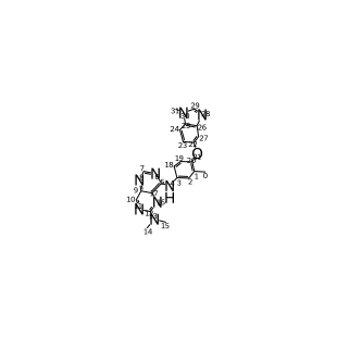 Cc1cc(Nc2ncnc3cnc(N(C)C)nc23)ccc1Oc1ccc2c(c1)ncn2C